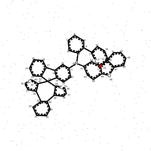 c1ccc(-c2ccccc2N(c2ccc3c(c2)-c2ccccc2C32c3ccccc3-c3ccccc3-c3ccccc32)c2ccc3oc4ccccc4c3c2)cc1